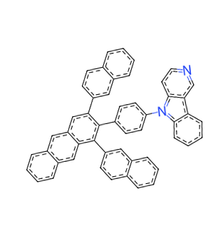 c1ccc2cc(-c3cc4cc5ccccc5cc4c(-c4ccc5ccccc5c4)c3-c3ccc(-n4c5ccccc5c5cnccc54)cc3)ccc2c1